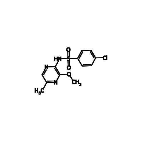 COc1nc(C)cnc1NS(=O)(=O)c1ccc(Cl)cc1